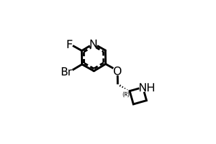 Fc1ncc(OC[C@H]2CCN2)cc1Br